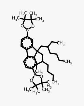 CCCCC(CC)CC1(CC(CC)CCCC)c2cc(B3OC(C)(C)C(C)(C)O3)ccc2-c2ccc(B3OC(C)(C)C(C)(C)O3)cc21